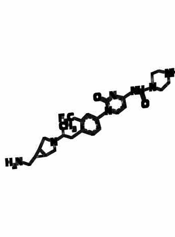 CC(Cc1ccc(-n2ccc(NC(=O)N3CCNCC3)nc2=O)cc1C(F)(F)F)N1CC2C(CN)C2C1